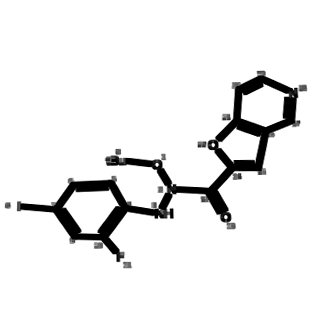 CC(C)(C)ON(Nc1ccc(I)cc1F)C(=O)c1cc2cnccc2o1